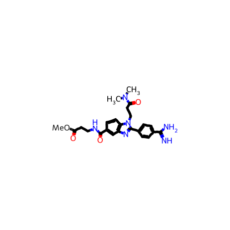 COC(=O)CCNC(=O)c1ccc2c(c1)nc(-c1ccc(C(=N)N)cc1)n2CCC(=O)N(C)C